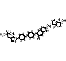 CC(C)(O)Cc1cnn(-c2ccc(-c3ccc(-c4nc5nc(OS[C@@H]6CO[C@@H]7[C@H]6OC[C@@H]7O)[nH]c5cc4Cl)cc3)cc2)c1